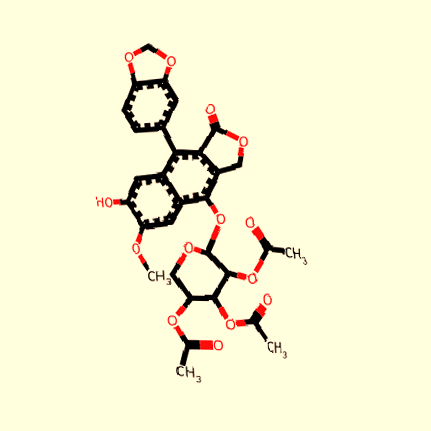 COc1cc2c(OC3OCC(OC(C)=O)C(OC(C)=O)C3OC(C)=O)c3c(c(-c4ccc5c(c4)OCO5)c2cc1O)C(=O)OC3